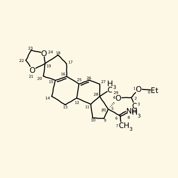 CCOC(C)O[C@]1(C(C)=N)CCC2C3CCC4=C(CCC5(C4)OCCO5)C3=CCC21C